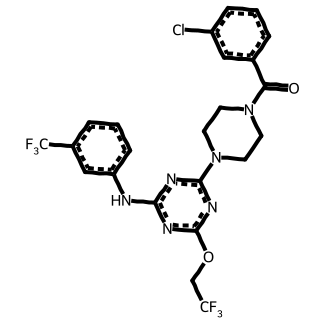 O=C(c1cccc(Cl)c1)N1CCN(c2nc(Nc3cccc(C(F)(F)F)c3)nc(OCC(F)(F)F)n2)CC1